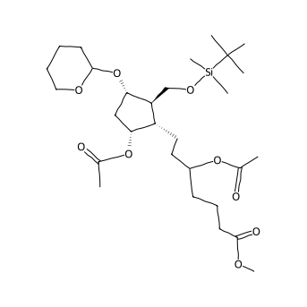 COC(=O)CCCC(CC[C@H]1[C@H](CO[Si](C)(C)C(C)(C)C)[C@@H](OC2CCCCO2)C[C@H]1OC(C)=O)OC(C)=O